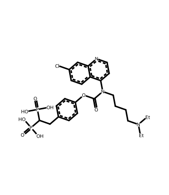 CCN(CC)CCCCN(C(=O)Oc1ccc(CC(P(=O)(O)O)P(=O)(O)O)cc1)c1ccnc2cc(Cl)ccc12